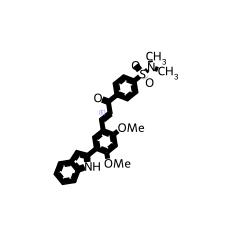 COc1cc(OC)c(-c2cc3ccccc3[nH]2)cc1/C=C/C(=O)c1ccc(S(=O)(=O)N(C)C)cc1